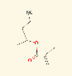 [C-]#[N+]CCC(C)OC(=O)C(=C)C